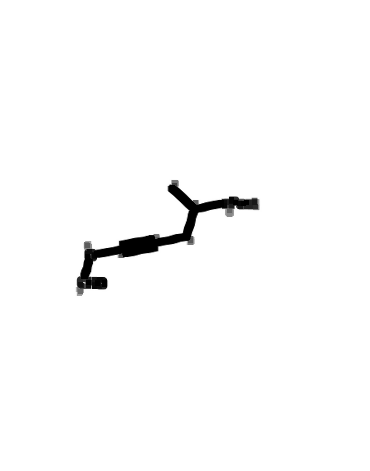 CCCCCC(C)CC#COC=O